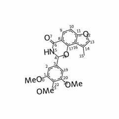 COc1cc(C2NC(=O)c3ccc4occ(C)c4c3O2)cc(OC)c1OC